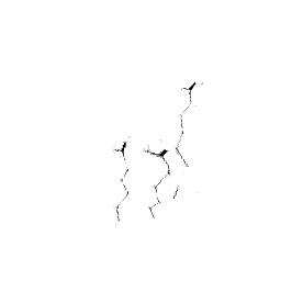 CC(=O)O.CCCCCC(=O)O.CCCCCC(=O)O.CCCCCC(=O)O